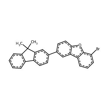 CC1(C)c2ccccc2-c2ccc(-c3ccc4oc5c(Br)cccc5c4c3)cc21